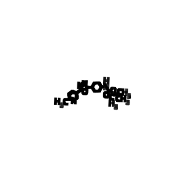 Cc1ccc(-c2nnc(C3CCC(NC(=O)OC(C)(C)C)CC3)o2)cn1